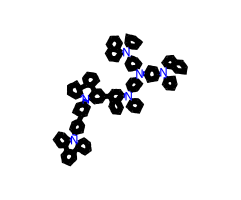 c1ccc(N(c2ccc(N(c3ccc(N(c4ccccc4)c4cccc5ccccc45)cc3)c3ccc(N(c4ccccc4)c4ccc(-c5ccc6c(c5)-c5ccccc5-c5ccccc5N6c5ccc(-c6ccc(N7c8ccccc8-c8ccccc8-c8ccccc87)cc6)cc5)c5ccccc45)cc3)cc2)c2cccc3ccccc23)cc1